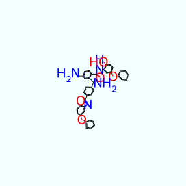 NCc1ccc(C(=O)Nc2cc(Oc3ccccc3)ccc2O)c(C(N)c2ccc(-c3nc4cc(Oc5ccccc5)ccc4o3)cc2)c1